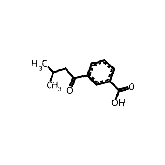 CC(C)CC(=O)c1cccc(C(=O)O)c1